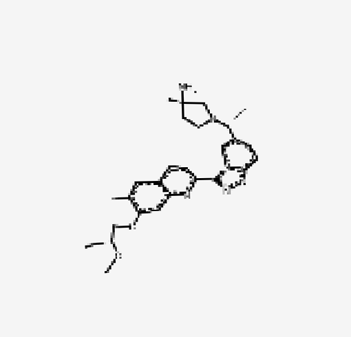 CO[C@@H](C)COc1cc2nc(-c3nnc4ccc([C@@H](C)N5CC[C@](C)(N)C5)cn34)ccc2cc1F